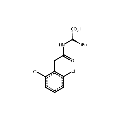 CC[C@H](C)[C@H](NC(=O)Cc1c(Cl)cccc1Cl)C(=O)O